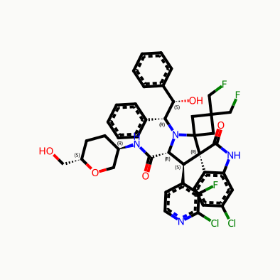 O=C(N[C@@H]1CC[C@@H](CO)OC1)[C@H]1[C@H](c2ccnc(Cl)c2F)[C@]2(C(=O)Nc3cc(Cl)ccc32)C2(CC(CF)(CF)C2)N1[C@H](c1ccccc1)[C@@H](O)c1ccccc1